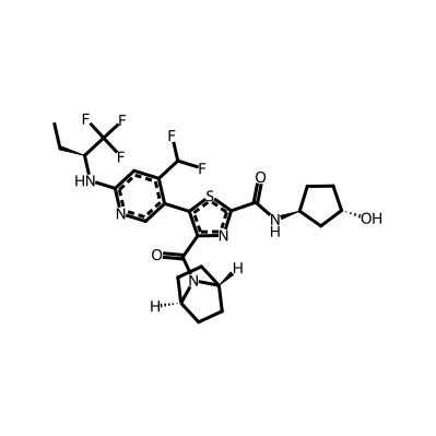 CC[C@H](Nc1cc(C(F)F)c(-c2sc(C(=O)N[C@H]3CC[C@H](O)C3)nc2C(=O)N2[C@H]3CC[C@H]2CC3)cn1)C(F)(F)F